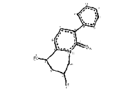 CCC1CC(CC)c2ccc(-c3ccccc3)c(=O)n2C1